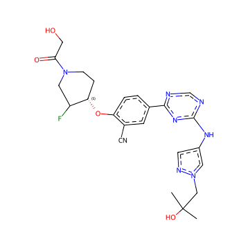 CC(C)(O)Cn1cc(Nc2ncnc(-c3ccc(O[C@H]4CCN(C(=O)CO)CC4F)c(C#N)c3)n2)cn1